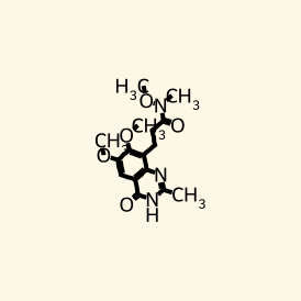 COc1cc2c(=O)[nH]c(C)nc2c(CCC(=O)N(C)OC)c1OC